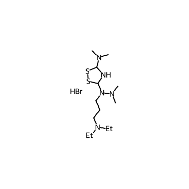 Br.CCN(CC)CCCN(C1NC(N(C)C)SS1)N(C)C